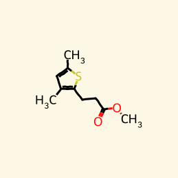 COC(=O)CCc1sc(C)cc1C